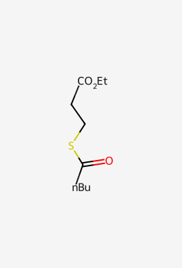 CCCCC(=O)SCCC(=O)OCC